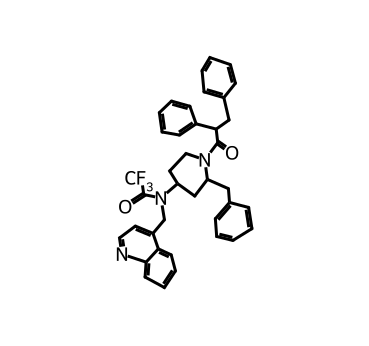 O=C(C(Cc1ccccc1)c1ccccc1)N1CCC(N(Cc2ccnc3ccccc23)C(=O)C(F)(F)F)CC1Cc1ccccc1